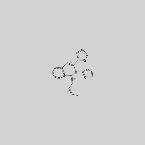 C/C=C\C=C(/C)B(/C(=C\c1ccccn1)c1cccs1)c1cccs1